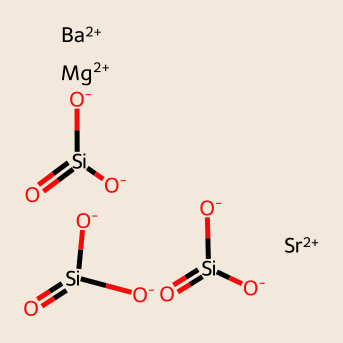 O=[Si]([O-])[O-].O=[Si]([O-])[O-].O=[Si]([O-])[O-].[Ba+2].[Mg+2].[Sr+2]